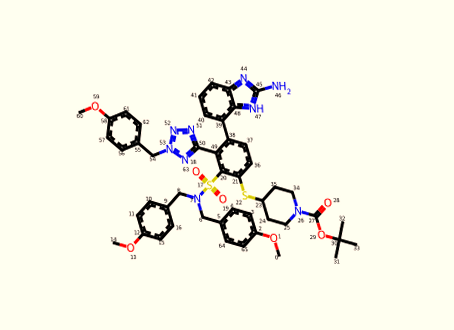 COc1ccc(CN(Cc2ccc(OC)cc2)S(=O)(=O)c2c(SC3CCN(C(=O)OC(C)(C)C)CC3)ccc(-c3cccc4nc(N)[nH]c34)c2-c2nnn(Cc3ccc(OC)cc3)n2)cc1